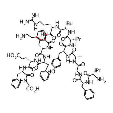 CC[C@H](C)[C@H](NC(=O)[C@@H](NC(=O)[C@H](Cc1ccc(O)cc1)NC(=O)[C@H](C)NC(=O)CNC(=O)[C@H](Cc1ccccc1)NC(=O)[C@@H](N)C(C)C)C(C)C)C(=O)N[C@@H](CCCNC(=N)N)C(=O)N[C@@H](CCCCN)C(=O)N[C@@H](Cc1ccccc1)C(=O)N[C@@H](Cc1ccccc1)C(=O)N[C@@H](CCC(=O)O)C(=O)N[C@@H](Cc1ccccc1)C(=O)NCC(=O)O